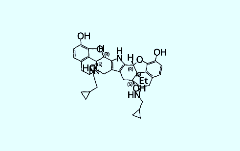 CC[C@]12c3c4ccc(O)c3O[C@H]1c1[nH]c3c(c1C[C@@]2(O)C(NCC1CC1)C4)C[C@@]1(O)C2Cc4ccc(O)c5c4[C@@]1(CCN2CC1CC1)[C@H]3O5